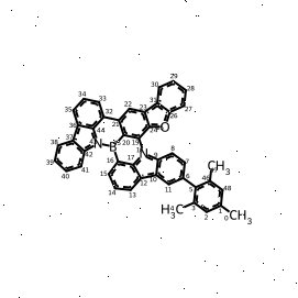 Cc1cc(C)c(-c2ccc3c(c2)c2cccc4c2n3-c2c3c(cc5c2oc2ccccc25)-c2cccc5c6ccccc6n(c25)B34)c(C)c1